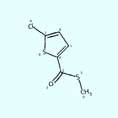 CSC(=O)c1ccc(Cl)s1